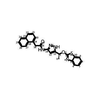 C[C@H](Oc1nc2ccccc2s1)c1cc(NC(=O)Cc2cccc3ccccc23)n[nH]1